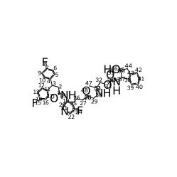 O=C(CC(c1ccc(F)cc1)c1ccc(F)cc1)Nc1cncc(F)c1CC[C@@H]1CN[C@H](COC(=O)NC2c3ccccc3C[C@H]2O)CO1